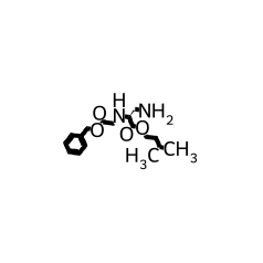 CC(C)CCOC(=O)[C@@H](CN)NCC(=O)OCc1ccccc1